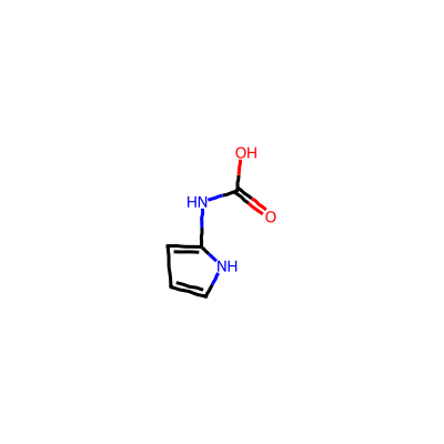 O=C(O)Nc1ccc[nH]1